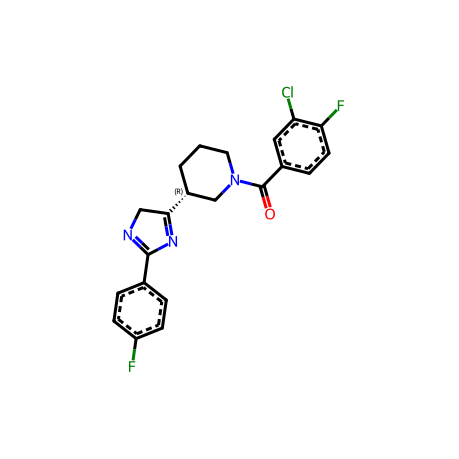 O=C(c1ccc(F)c(Cl)c1)N1CCC[C@@H](C2=NC(c3ccc(F)cc3)=NC2)C1